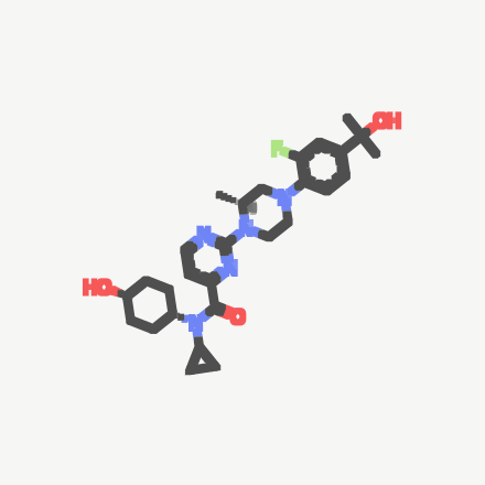 C[C@@H]1CN(c2ccc(C(C)(C)O)cc2F)CCN1c1nccc(C(=O)N(C2CC2)[C@H]2CC[C@H](O)CC2)n1